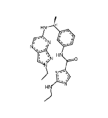 CCNc1ncc(C(=O)Nc2cccc([C@H](C)Nc3cnc4cn(CC)nc4n3)c2)s1